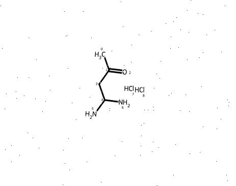 CC(=O)CC(N)N.Cl.Cl